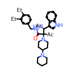 CCc1ccc(CN(C(C)=O)C(=O)C(C(C)=O)(C(N)c2c[nH]c3ccccc23)N2CCC(N3CCCCC3)CC2)cc1CC